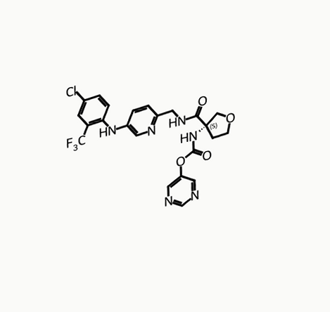 O=C(N[C@@]1(C(=O)NCc2ccc(Nc3ccc(Cl)cc3C(F)(F)F)cn2)CCOC1)Oc1cncnc1